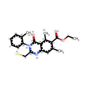 CCOC(=O)c1c(C)cc2nc(CS)n(-c3ccccc3C)c(=O)c2c1C